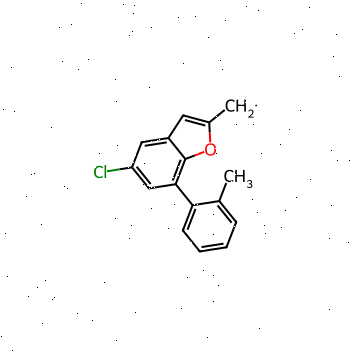 [CH2]c1cc2cc(Cl)cc(-c3ccccc3C)c2o1